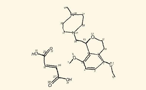 COc1ccc(OC)c2c1CCOC2CN1CCN(C)CC1.O=C(O)C=CC(=O)O